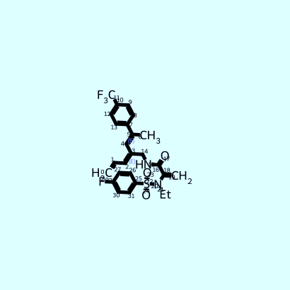 C=C/C=C(\C=C(/C)c1ccc(C(F)(F)F)cc1)CNC(=O)C(=C)N(CC)S(=O)(=O)c1ccc(F)cc1